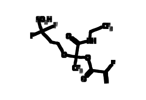 C=C(F)C(=O)OC(OCCC(F)(F)S(=O)(=O)O)(C(=O)NCC(F)(F)F)C(F)(F)F